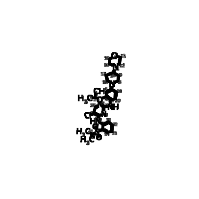 CC(C)Oc1cc(N2CCC(N3CCOCC3)CC2)ccc1Nc1ncc(Cl)c(Nc2ccccc2S(=O)(=O)C(C)C)n1